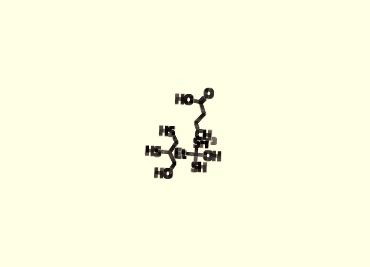 CCC(O)(S)S.CCCC(=O)O.OCC(S)CS